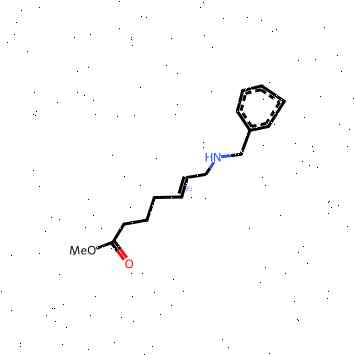 COC(=O)CCC/C=C/CNCc1ccccc1